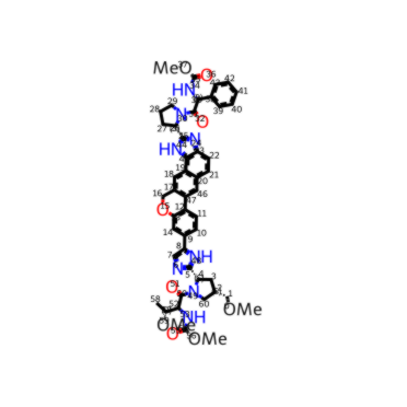 COC[C@H]1C[C@@H](c2ncc(-c3ccc4c(c3)OCc3cc5c(ccc6nc([C@@H]7CCCN7C(=O)[C@H](NC(=O)OC)c7ccccc7)[nH]c65)cc3-4)[nH]2)N(C(=O)C(NC(=O)OC)[C@@H](C)OC)C1